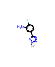 CC(C)n1nnc(-c2ccc(F)c(N)c2)n1